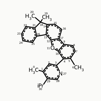 Cc1cc(-c2c(C)ccc3c2oc2c4c(ccc23)C(C)(C)c2ccccc2-4)ncc1C(C)C